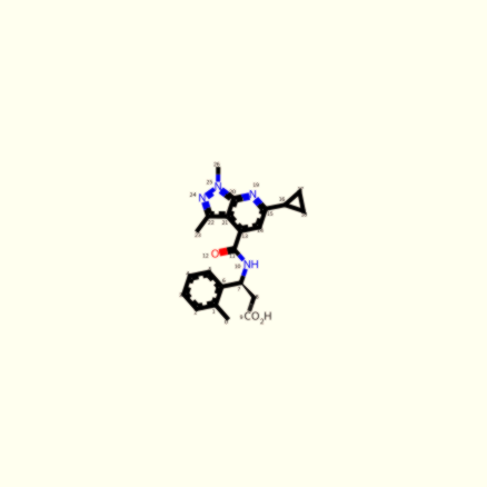 Cc1ccccc1[C@H](CC(=O)O)NC(=O)c1cc(C2CC2)nc2c1c(C)nn2C